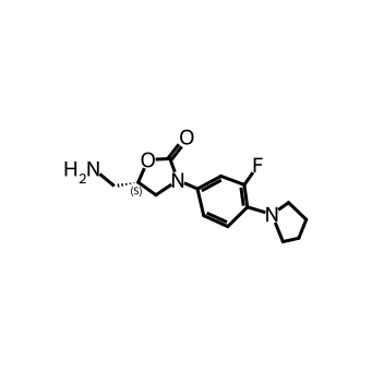 NC[C@H]1CN(c2ccc(N3CCCC3)c(F)c2)C(=O)O1